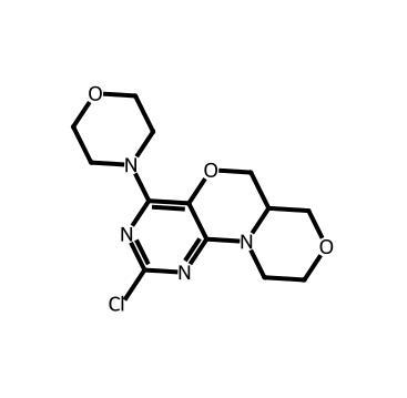 Clc1nc(N2CCOCC2)c2c(n1)N1CCOCC1CO2